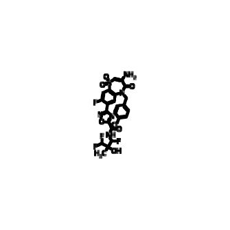 CC(O)(C(F)F)C(F)NC(=O)c1nc(-c2cc3c(cc2F)S(=O)(=O)C=C(N)C(=O)N3Cc2ccc(Cl)cc2)no1